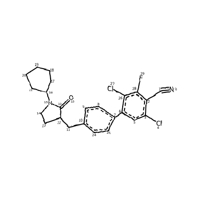 N#Cc1c(Cl)cc(-c2ccc(CC3CCN(C4CCCCC4)C3=O)cc2)c(Cl)c1F